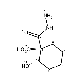 NNC(=O)[C@]1(C(=O)O)CCCC[C@@H]1O